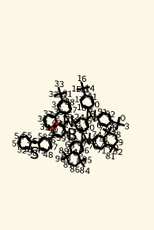 CC(C)(C)c1ccc(N(c2ccc(C(C)(C)C)cc2)c2cc3c4c(c2)N(c2ccc(C(C)(C)C)cc2-c2ccccc2)c2ccc(-c5ccc6sc7ccccc7c6c5)cc2B4c2cc4c(cc2N3c2ccc3c(c2)C(C)(C)CCC3(C)C)C(C)(C)CCC4(C)C)cc1